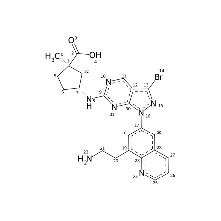 C[C@@]1(C(=O)O)CC[C@@H](Nc2ncc3c(Br)nn(-c4cc(CCN)c5ncccc5c4)c3n2)C1